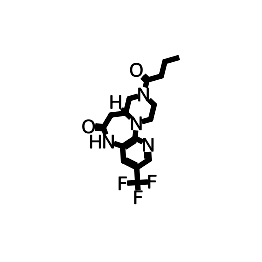 CCCC(=O)N1CCN2c3ncc(C(F)(F)F)cc3NC(=O)C[C@@H]2C1